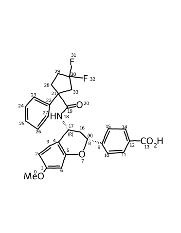 COc1ccc2c(c1)O[C@@H](c1ccc(C(=O)O)cc1)C[C@H]2NC(=O)C1(c2ccccc2)CCC(F)(F)C1